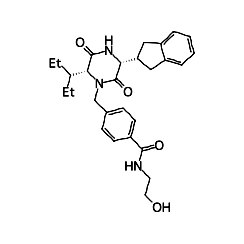 CCC(CC)[C@@H]1C(=O)N[C@H](C2Cc3ccccc3C2)C(=O)N1Cc1ccc(C(=O)NCCO)cc1